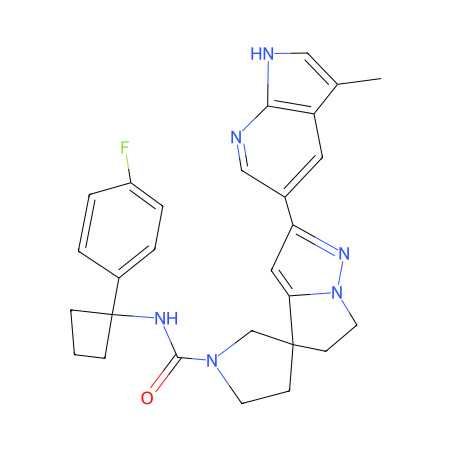 Cc1c[nH]c2ncc(-c3cc4n(n3)CCC43CCN(C(=O)NC4(c5ccc(F)cc5)CCC4)C3)cc12